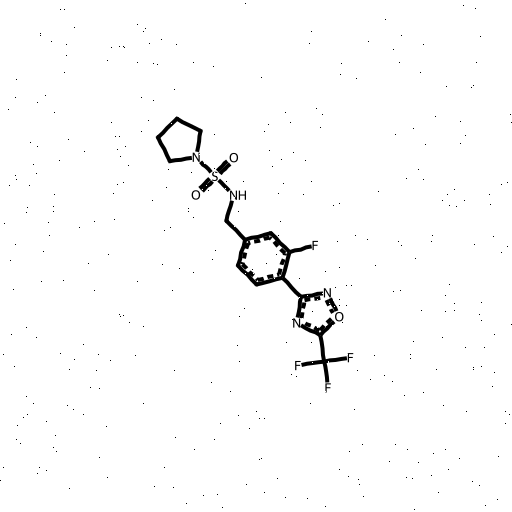 O=S(=O)(NCc1ccc(-c2noc(C(F)(F)F)n2)c(F)c1)N1CCCC1